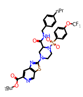 CCCc1ccc(CNC(=O)C2CN(c3nc4cc(C(=O)OC(C)(C)C)ncc4s3)CCN2S(=O)(=O)c2ccc(OC(F)(F)F)cc2)cc1